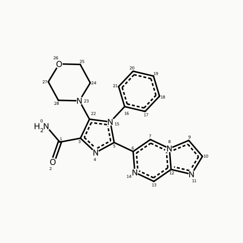 NC(=O)c1nc(-c2cn3ccnc3cn2)n(-c2ccccc2)c1N1CCOCC1